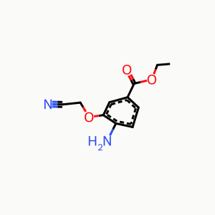 CCOC(=O)c1ccc(N)c(OCC#N)c1